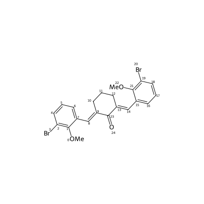 COc1c(Br)cccc1/C=C1\CCC/C(=C\c2cccc(Br)c2OC)C1=O